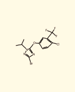 CC(C)n1nc(Br)nc1Oc1ccc(Cl)c(C(F)(F)F)c1